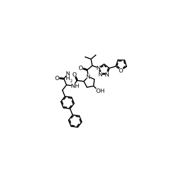 CC(C)C(C(=O)N1CC(O)CC1C(=O)NC(Cc1ccc(-c2ccccc2)cc1)C(N)=O)n1cc(-c2ccco2)nn1